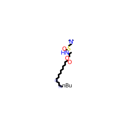 CCCC/C=C\C/C=C\CCCCCCCCC(=O)OCC(C)NC(=O)SCCN(C)C